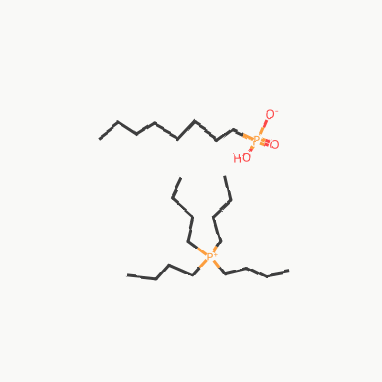 CCCCCCCCP(=O)([O-])O.CCCC[P+](CCCC)(CCCC)CCCC